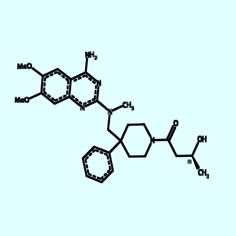 COc1cc2nc(N(C)CC3(c4ccccc4)CCN(C(=O)C[C@H](C)O)CC3)nc(N)c2cc1OC